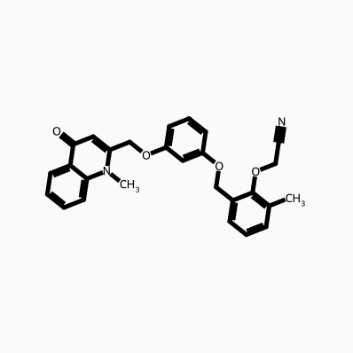 Cc1cccc(COc2cccc(OCc3cc(=O)c4ccccc4n3C)c2)c1OCC#N